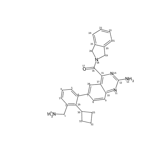 NCc1cccc(-c2ccc3nc(N)nc(C(=O)N4Cc5ccccc5C4)c3c2)c1C1CCC1